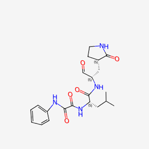 CC(C)C[C@H](NC(=O)C(=O)Nc1ccccc1)C(=O)N[C@H](C=O)C[C@@H]1CCNC1=O